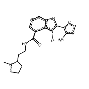 CCn1c(-c2nonc2N)nc2cncc(C(=O)NCCC3CCCN3C)c21